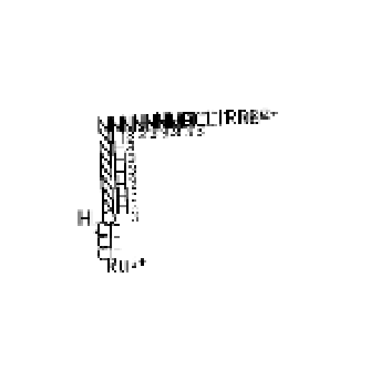 N.N.N.N.N.N.N.N.N.N.N.N.N.N.O.O.[Cl-].[Cl-].[Cl-].[Cl-].[Cl-].[Cl-].[Ru+2].[Ru+2].[Ru+2]